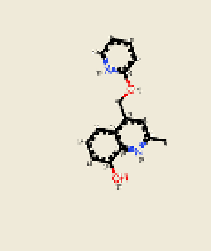 Cc1cc(COc2ccccn2)c2cccc(O)c2n1